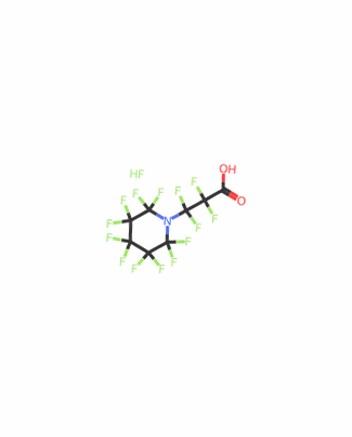 F.O=C(O)C(F)(F)C(F)(F)N1C(F)(F)C(F)(F)C(F)(F)C(F)(F)C1(F)F